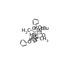 C=CC[C@@]1(S(=O)(=O)c2ccccc2)N(C(C)(C)C)C(=O)[C@]1(NC(=O)COc1ccccc1)[SiH](C)C